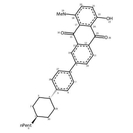 CCCCC[C@H]1CC[C@H](c2ccc(-c3ccc4c(c3)C(=O)c3c(NC)ccc(O)c3C4=O)cc2)CC1